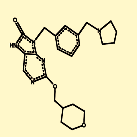 O=c1[nH]c2cnc(OCC3CCOCC3)nc2n1Cc1cccc(CN2CCCC2)c1